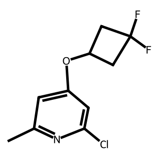 Cc1cc(OC2CC(F)(F)C2)cc(Cl)n1